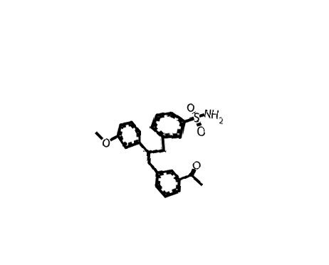 COc1cccc([C](Cc2cccc(C(C)=O)c2)Cc2cccc(S(N)(=O)=O)c2)c1